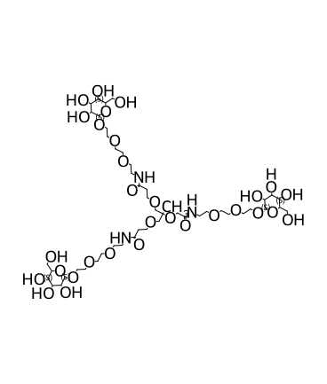 CC(COCCC(=O)NCCOCCOCCO[C@H]1OC(CO)[C@@H](O)C(O)C1O)(COCCC(=O)NCCOCCOCCO[C@H]1OC(CO)[C@@H](O)C(O)C1O)OCC(=O)NCCOCCOCCO[C@H]1OC(CO)[C@@H](O)C(O)C1O